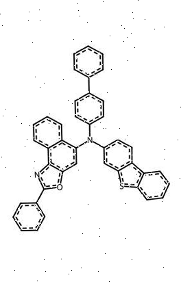 c1ccc(-c2ccc(N(c3ccc4c(c3)sc3ccccc34)c3cc4oc(-c5ccccc5)nc4c4ccccc34)cc2)cc1